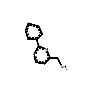 NCc1ccnc(-c2ccccc2)n1